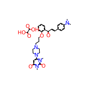 CN(C)c1ccc(C=CC(=O)c2ccccc2OCCCN2CCN(c3cc(=O)n(C)c(=O)n3C)CC2)cc1.O=C(O)C(=O)O